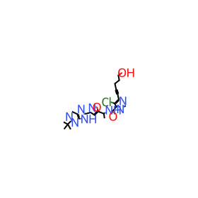 CC(NC(=O)c1ncnc(C#CCCCO)c1Cl)c1cc(-c2nc3cnc(C(C)(C)C)nc3[nH]2)no1